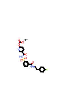 CCCOC(=O)Oc1ccc(C(=O)NS(=O)(=O)c2cccc(C(=O)NCCc3ccc(F)cc3)c2)cn1